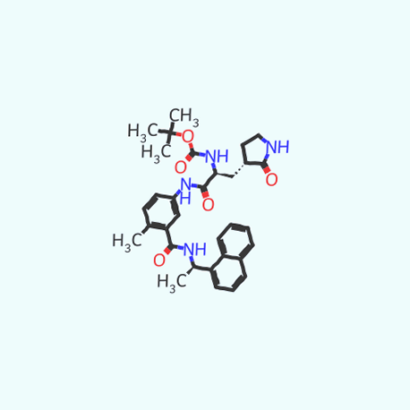 Cc1ccc(NC(=O)[C@H](C[C@@H]2CCNC2=O)NC(=O)OC(C)(C)C)cc1C(=O)N[C@H](C)c1cccc2ccccc12